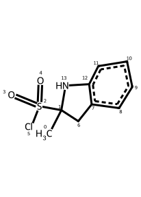 CC1(S(=O)(=O)Cl)Cc2ccccc2N1